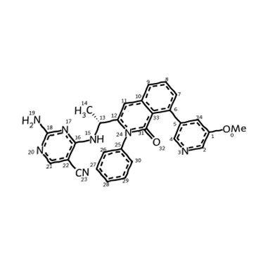 COc1cncc(-c2cccc3cc([C@@H](C)Nc4nc(N)ncc4C#N)n(-c4ccccc4)c(=O)c23)c1